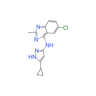 Cc1nc(Nc2cc(C3CC3)[nH]n2)c2cc(Cl)ccc2n1